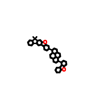 CC1(C)c2ccccc2-c2cc3c(cc21)oc1cc(-c2ccc4ccc5c(-c6cccc7oc8ccccc8c67)ccc6ccc2c4c65)ccc13